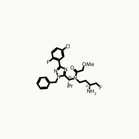 COCC(=O)N(CC[C@H](N)CF)[C@@H](c1nc(-c2cc(Cl)ccc2F)nn1Cc1ccccc1)C(C)C